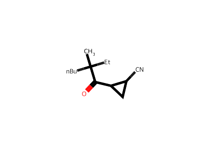 CCCCC(C)(CC)C(=O)C1CC1C#N